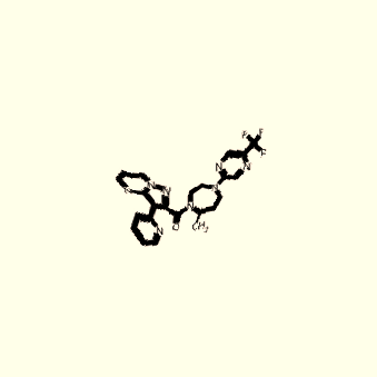 C[C@@H]1CCN(c2cnc(C(F)(F)F)cn2)CCN1C(=O)c1nn2cccnc2c1-c1ccccn1